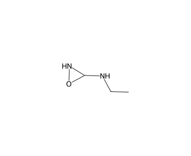 CCNC1NO1